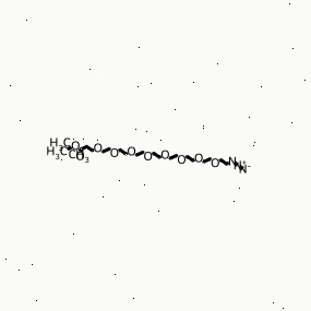 CC(C)(C)OC(=O)CCOCCOCCOCCOCCOCCOCCOCCOCCN=[N+]=[N-]